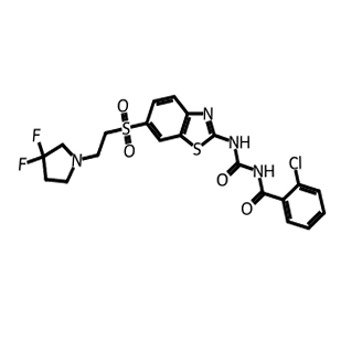 O=C(NC(=O)c1ccccc1Cl)Nc1nc2ccc(S(=O)(=O)CCN3CCC(F)(F)C3)cc2s1